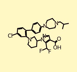 CC(C)CN1CCN(c2ccc(-c3ccc(Cl)cc3N3CCCC(n4ncc(C(=O)O)c4C(F)F)C3)cc2)CC1